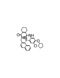 O=C(NCc1ccc2ccccc2c1)C1=C(C(=O)Nc2cc(OC3CCCC3)c(Cl)cc2F)CCCC1